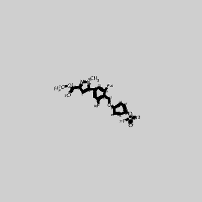 COC(=O)c1cc(-c2cc(F)c(COc3ccc(OS(=O)(=O)F)cc3)c(F)c2)n(C)n1